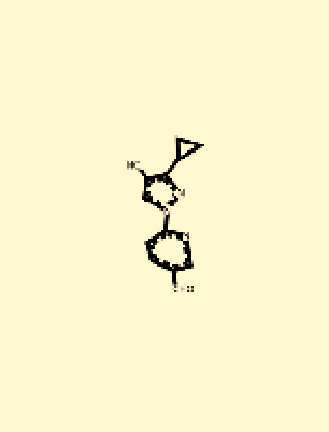 N#Cc1cn(-c2ccc(C=O)cn2)nc1C1CC1